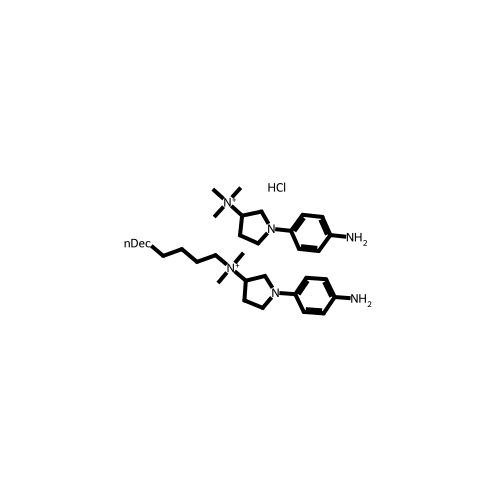 CCCCCCCCCCCCCC[N+](C)(C)C1CCN(c2ccc(N)cc2)C1.C[N+](C)(C)C1CCN(c2ccc(N)cc2)C1.Cl